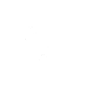 CCCCCCOCC1C2CCC(O2)C1CCCCOC(C)C(=O)O